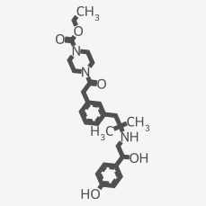 CCOC(=O)N1CCN(C(=O)Cc2cccc(CC(C)(C)NCC(O)c3ccc(O)cc3)c2)CC1